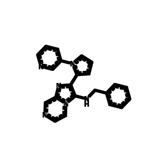 c1ccc(CNc2c(-c3cccn3-c3cccnc3)nc3cnccn23)cc1